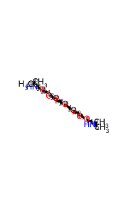 CC(C)NCCOCCOCCOCCCOCCCOCCOCCOCCNC(C)C